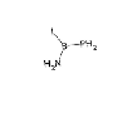 NB(P)I